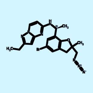 CCc1cc2nc(N[C@H](C)c3cc(Br)cc4c3OC(C)(CN=[N+]=[N-])C4)ccn2n1